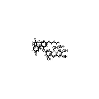 CCCCCc1cc(O[C@H]2C[C@@H](O)[C@H](O[C@H]3C[C@@H](O)[C@H](O)[C@@H](CO)O3)[C@@H](CO)O2)c2c(c1)OC(C)(C)[C@@H]1CCC(C)=C[C@@H]21